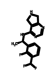 C[C@@H](Nc1ncnc2c1CNC2)c1cccc(C(F)F)c1F